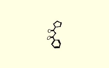 O=C(CC(=O)C1CCCC1)c1ccccc1